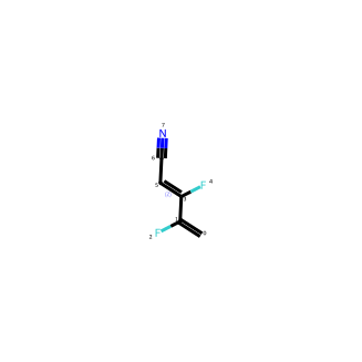 C=C(F)/C(F)=C/C#N